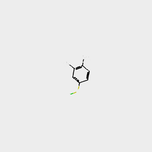 O=[N+]([O-])c1ccc(SCl)cc1[N+](=O)[O-]